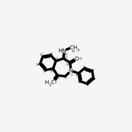 C=C1CN(c2ccccc2)C(=O)C(NC)C2C=CC=CC12